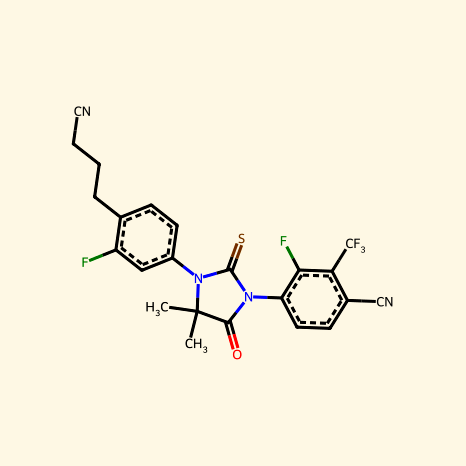 CC1(C)C(=O)N(c2ccc(C#N)c(C(F)(F)F)c2F)C(=S)N1c1ccc(CCCC#N)c(F)c1